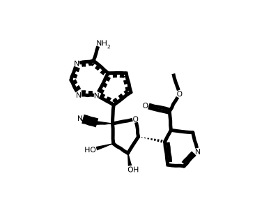 COC(=O)C1CN=CC=C1[C@H]1O[C@@](C#N)(c2ccc3c(N)ncnn23)[C@H](O)[C@@H]1O